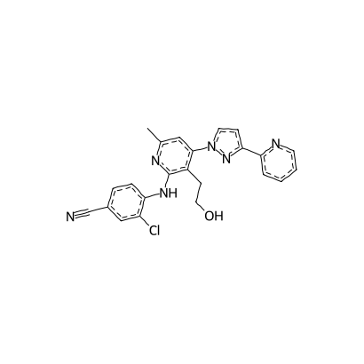 Cc1cc(-n2ccc(-c3ccccn3)n2)c(CCO)c(Nc2ccc(C#N)cc2Cl)n1